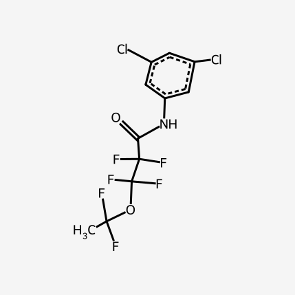 CC(F)(F)OC(F)(F)C(F)(F)C(=O)Nc1cc(Cl)cc(Cl)c1